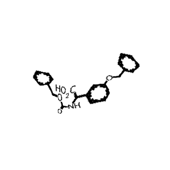 O=C(NC(C(=O)O)c1cccc(OCc2ccccc2)c1)OCc1ccccc1